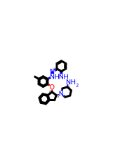 Cc1ccc(O[C@@H]2c3ccccc3C[C@H]2N2CCC[C@H](N)C2)c(N/N=C2/C=CC=CC2=N)c1